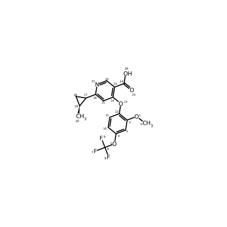 COc1cc(OC(F)(F)F)ccc1Oc1cc(C2C[C@@H]2C)ncc1C(=O)O